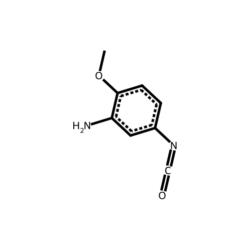 COc1ccc(N=C=O)cc1N